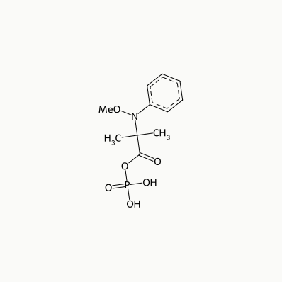 CON(c1ccccc1)C(C)(C)C(=O)OP(=O)(O)O